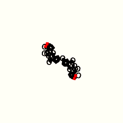 CC1(C)C2CCC1(CS(=O)(=O)ON1C(=O)c3ccc(Oc4ccc5c(c4)C(=O)N(OS(=O)(=O)CC46CCC(CC4=O)C6(C)C)C5=O)cc3C1=O)C(=O)C2